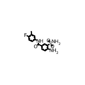 Cc1cc(NC(=O)c2ccc(N)c(S(N)(=O)=O)c2)ccc1F